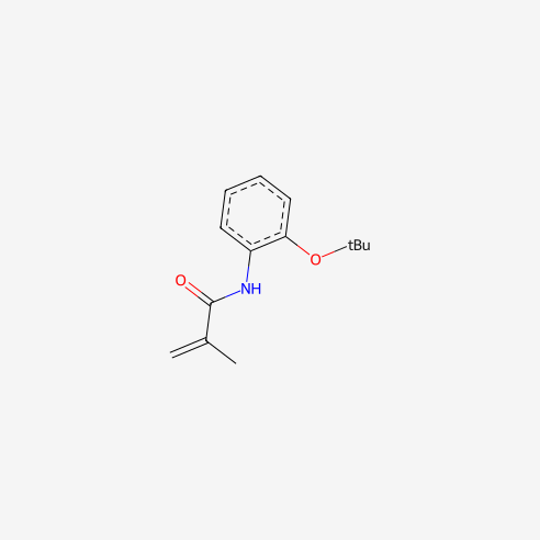 C=C(C)C(=O)Nc1ccccc1OC(C)(C)C